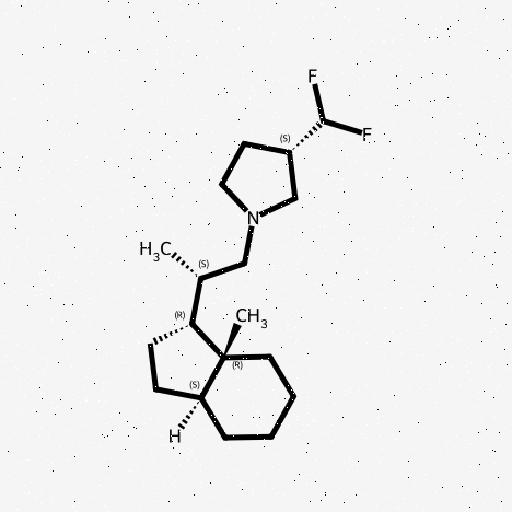 C[C@H](CN1CC[C@H](C(F)F)C1)[C@H]1CC[C@@H]2CCCC[C@]21C